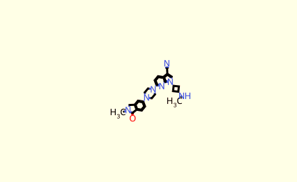 CN[C@H]1C[C@H](n2cc(C#N)c3ccc(N4CCN(c5ccc6c(c5)CN(C)C6=O)CC4)nc32)C1